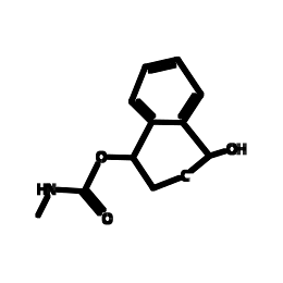 CNC(=O)OC1CCC(O)c2ccccc21